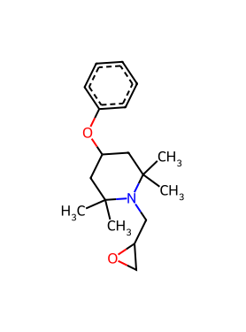 CC1(C)CC(Oc2ccccc2)CC(C)(C)N1CC1CO1